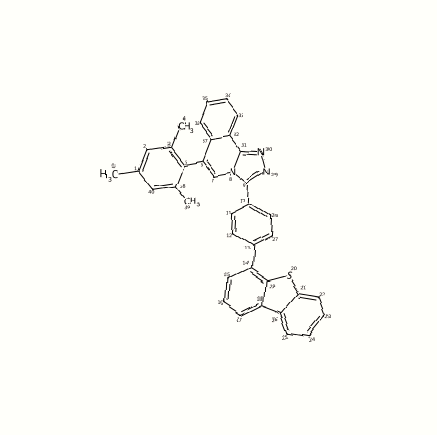 Cc1cc(C)c(-c2cn3c(-c4ccc(-c5cccc6c5sc5ccccc56)cc4)nnc3c3ccccc23)c(C)c1